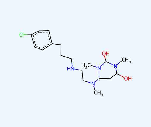 CN(CCNCCCc1ccc(Cl)cc1)C1=CC(O)N(C)C(O)N1C